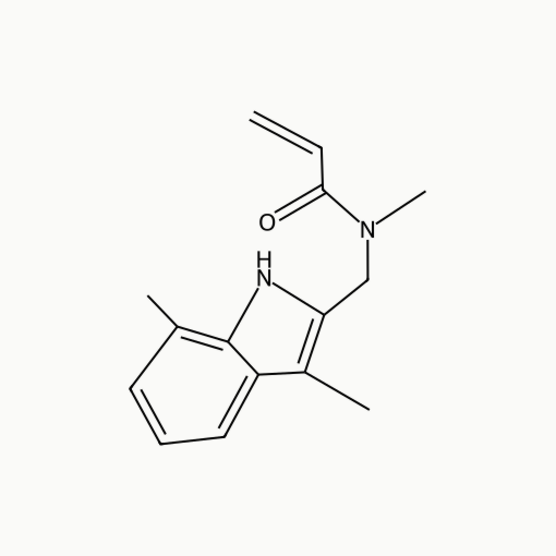 C=CC(=O)N(C)Cc1[nH]c2c(C)cccc2c1C